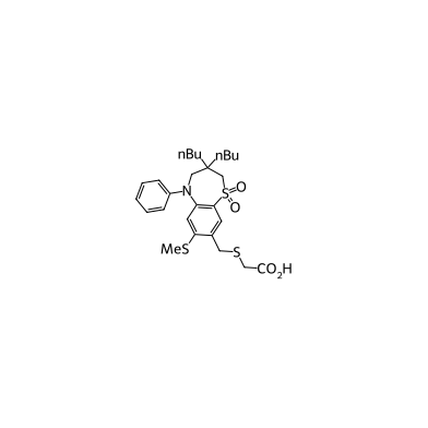 CCCCC1(CCCC)CN(c2ccccc2)c2cc(SC)c(CSCC(=O)O)cc2S(=O)(=O)C1